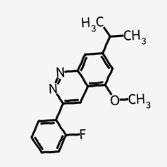 COc1cc(C(C)C)cc2nnc(-c3ccccc3F)cc12